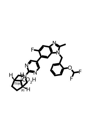 Cc1nc2cc(F)c(-c3cnc(N4C[C@H]5CC[C@@H](C4)[C@@H]5C(=O)O)nc3)cc2n1Cc1ccccc1OC(F)F